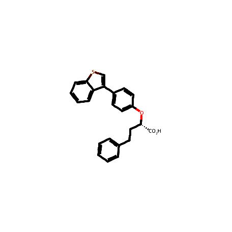 O=C(O)[C@H](CCc1ccccc1)Oc1ccc(-c2csc3ccccc23)cc1